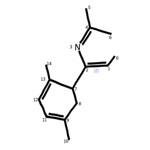 C/C=C(\N=C(C)C)C1CC(C)=CC=C1C